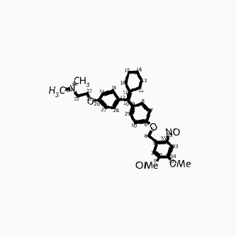 COc1cc(COc2ccc(C(=C3CCCCC3)c3ccc(OCCN(C)C)cc3)cc2)c(N=O)cc1OC